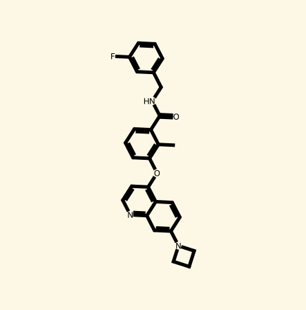 Cc1c(Oc2ccnc3cc(N4CCC4)ccc23)cccc1C(=O)NCc1cccc(F)c1